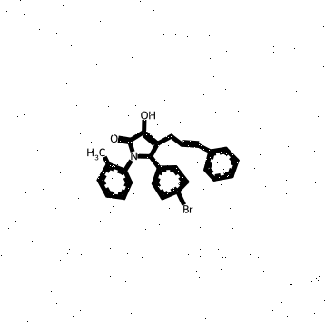 Cc1ccccc1N1C(=O)C(O)=C(CC=Cc2ccccc2)C1c1ccc(Br)cc1